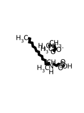 CCCCCCCCCCCCCC(C)(C)NCCCS(=O)(=O)O.C[N+](C)(C)CC(=O)[O-]